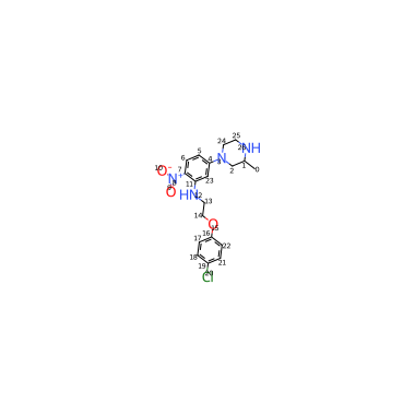 CC1CN(c2ccc([N+](=O)[O-])c(NCCOc3ccc(Cl)cc3)c2)CCN1